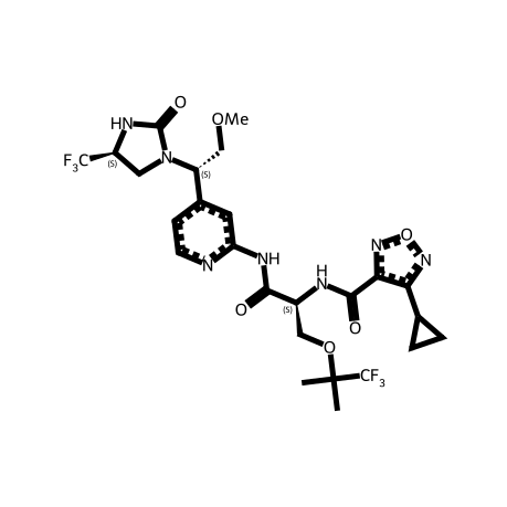 COC[C@H](c1ccnc(NC(=O)[C@H](COC(C)(C)C(F)(F)F)NC(=O)c2nonc2C2CC2)c1)N1C[C@@H](C(F)(F)F)NC1=O